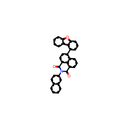 O=C1c2cccc3c(-c4cccc5oc6ccccc6c45)ccc(c23)C(=O)N1c1ccc2ccccc2c1